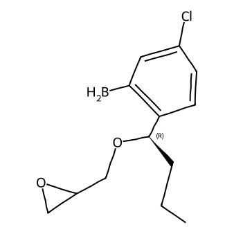 Bc1cc(Cl)ccc1[C@@H](CCC)OCC1CO1